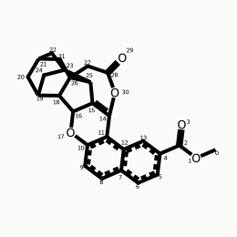 COC(=O)c1ccc2ccc3c(c2c1)C1=C2C(O3)C3C4CC5CC(C4)C2C3(CC(=O)O1)C5